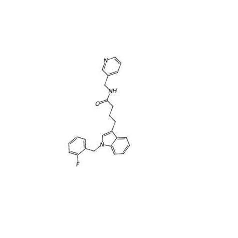 O=C(CCCc1cn(Cc2ccccc2F)c2ccccc12)NCc1cccnc1